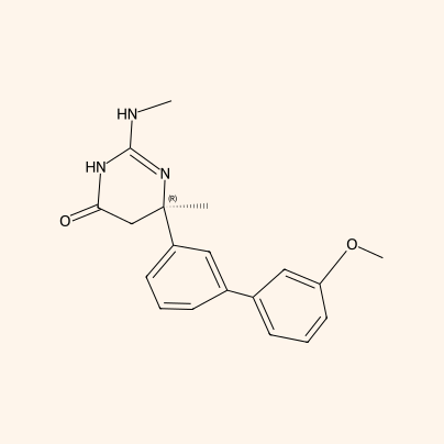 CNC1=N[C@@](C)(c2cccc(-c3cccc(OC)c3)c2)CC(=O)N1